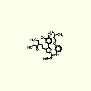 CCN(CCC1CN(/C(=N\C#N)Nc2cccc(OCCN(C)C)c2)N=C1c1ccc(Cl)c(Cl)c1)C(=O)CO